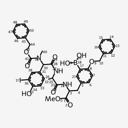 COC(=O)C(Cc1ccc(OCc2ccccc2)c(B(O)O)c1)NC(=O)C(C)NC(=O)C(c1ccc(O)c(I)c1)N(C)C(=O)OCc1ccccc1